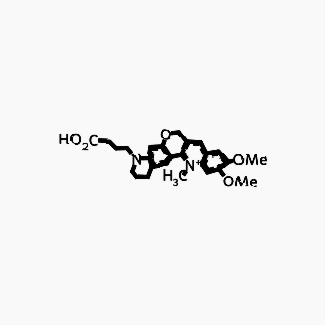 COc1cc2cc3c([n+](C)c2cc1OC)-c1cc2c(cc1OC3)N(CCCC(=O)O)CCC2